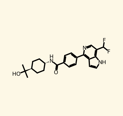 CC(C)(O)[C@H]1CC[C@H](NC(=O)c2ccc(-c3ncc(C(F)F)c4[nH]ccc34)cc2)CC1